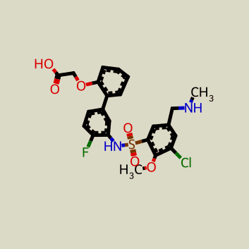 CNCc1cc(Cl)c(OC)c(S(=O)(=O)Nc2cc(-c3ccccc3OCC(=O)O)ccc2F)c1